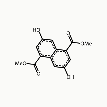 COC(=O)c1cc(O)cc2c(C(=O)OC)cc(O)cc12